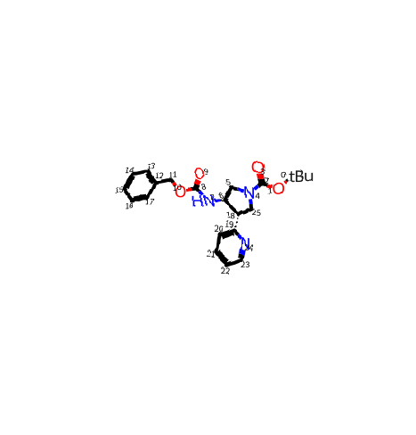 CC(C)(C)OC(=O)N1C[C@H](NC(=O)OCc2ccccc2)[C@@H](c2ccccn2)C1